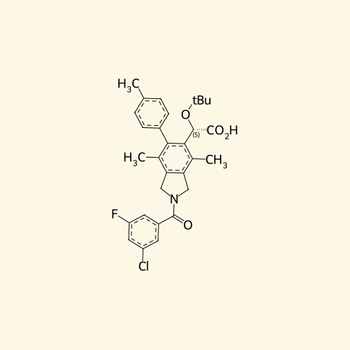 Cc1ccc(-c2c(C)c3c(c(C)c2[C@H](OC(C)(C)C)C(=O)O)CN(C(=O)c2cc(F)cc(Cl)c2)C3)cc1